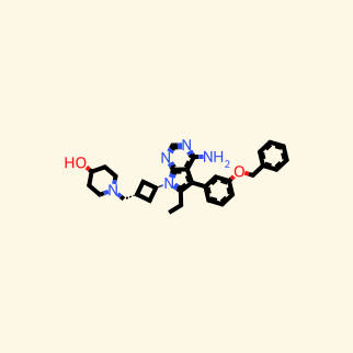 CCc1c(-c2cccc(OCc3ccccc3)c2)c2c(N)ncnc2n1[C@H]1C[C@@H](CN2CCC(O)CC2)C1